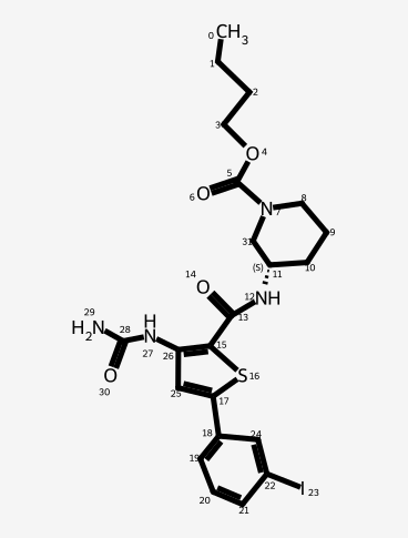 CCCCOC(=O)N1CCC[C@H](NC(=O)c2sc(-c3cccc(I)c3)cc2NC(N)=O)C1